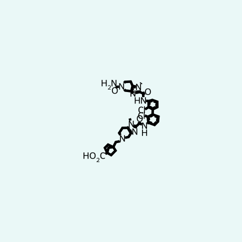 Cn1c(C(=O)Nc2cccc(-c3cccc(NC(=O)c4nc5c(n4C)CCN(C(N)=O)C5)c3Cl)c2Cl)nc2c1CCN(CCC13CCC(C(=O)O)(CC1)C3)C2